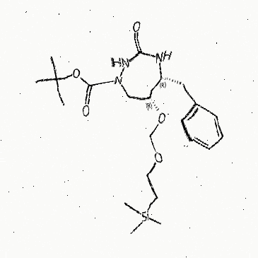 CC(C)(C)OC(=O)N1C[C@@H](OCOCC[Si](C)(C)C)[C@@H](Cc2ccccc2)NC(=O)N1